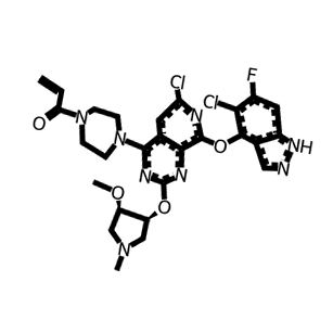 C=CC(=O)N1CCN(c2nc(O[C@H]3CN(C)C[C@H]3OC)nc3c(Oc4c(Cl)c(F)cc5[nH]ncc45)nc(Cl)cc23)CC1